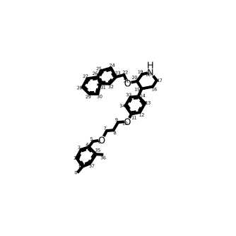 Cc1ccc(COCCCOc2ccc(C3CCNCC3OCc3ccc4ccccc4c3)cc2)c(C)c1